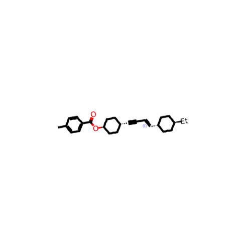 CC[C@H]1CC[C@H](/C=C/C#C[C@H]2CC[C@H](OC(=O)c3ccc(C)cc3)CC2)CC1